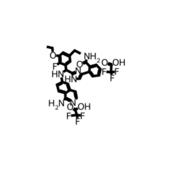 CCOc1cc(CC)cc(C(Nc2ccc3c(N)nccc3c2)c2nc(-c3ccccc3C(N)=O)c[nH]2)c1F.O=C(O)C(F)(F)F.O=C(O)C(F)(F)F